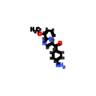 COc1cccn2c(C(=O)c3ccc(N)cc3)cnc12